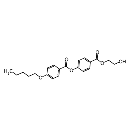 CCCCCOc1ccc(C(=O)Oc2ccc(C(=O)OCCO)cc2)cc1